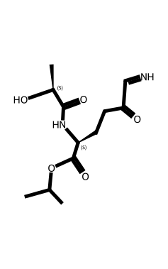 CC(C)OC(=O)[C@H](CCC(=O)C=N)NC(=O)[C@H](C)O